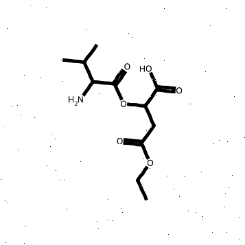 CCOC(=O)CC(OC(=O)C(N)C(C)C)C(=O)O